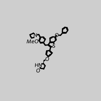 COc1cc(Cc2c(-c3ccc(OC[C@H]4CCC(=O)N4)cc3)sc3cc(OCc4ccccc4)ccc23)ccc1CN1CCCC1